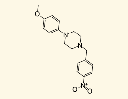 COc1ccc(N2CCN(Cc3ccc([N+](=O)[O-])cc3)CC2)cc1